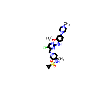 COc1cc(N2CCN(C)CC2)ccc1Nc1ncc(Cl)c(CN2CCC(C)(NS(=O)(=O)C3CC3)CC2)n1